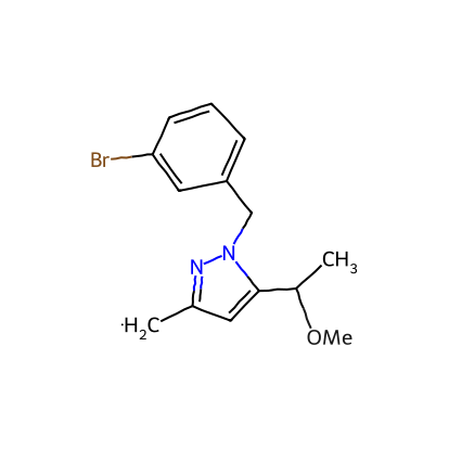 [CH2]c1cc(C(C)OC)n(Cc2cccc(Br)c2)n1